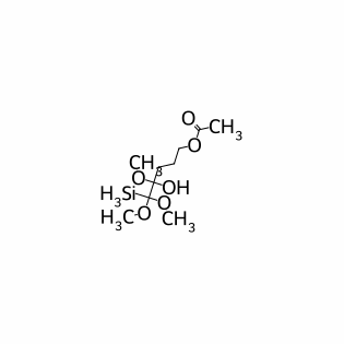 COC(O)(CCCOC(C)=O)C([SiH3])(OC)OC